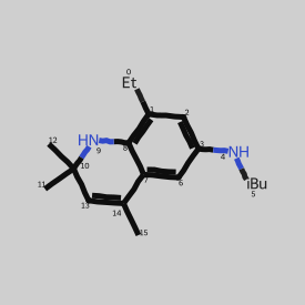 CCc1cc(NC(C)CC)cc2c1NC(C)(C)C=C2C